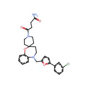 NC(=O)CCC(=O)N1CCC2(CC1)CCN(Cc1ccc(-c3cccc(Cl)c3)o1)c1ccccc1O2